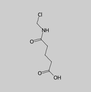 O=C(O)CCCC(=O)NCCl